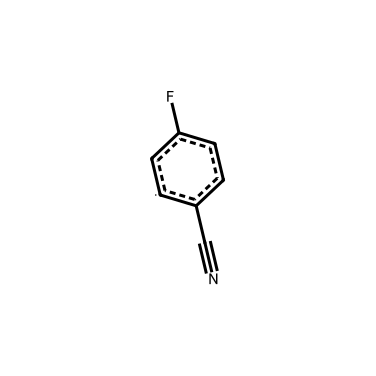 N#Cc1[c]cc(F)cc1